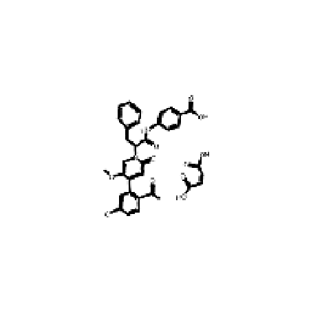 COc1cn(C(Cc2ccccc2)C(=O)Nc2ccc(C(=O)O)cc2)c(=O)cc1-c1cc(Cl)ccc1C(C)=O.O=C(O)/C=C\C(=O)O